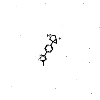 Cc1cc(-c2ccc(C34CNC[C@H]3C4)cc2)no1